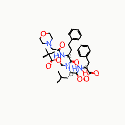 CC(C)C[C@@H](C(=O)N[C@@H](Cc1ccccc1)C(=O)O)N(COC(=O)C(C)(C)C)C(=O)[C@H](CCc1ccccc1)NC(=O)CN1CCOCC1